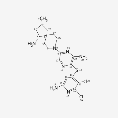 C[C@H]1C[C@@H](N)C2(CCN(c3cnc(Sc4cc(N)nc(Cl)c4Cl)c(N)n3)CC2)C1